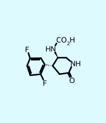 O=C(O)N[C@H]1CNC(=O)C[C@@H]1c1cc(F)ccc1F